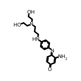 NC1=CC(=O)C=C/C1=N\c1ccc(NCCCN(CCO)CCO)cc1